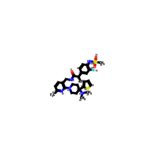 CC(C(=O)NCc1ccc(C(F)(F)F)nc1N1CCC(c2cccs2)(N(C)C)CC1)c1ccc(NS(C)(=O)=O)c(F)c1